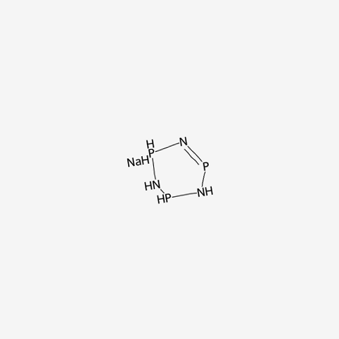 [NaH].n1p[nH][pH][nH][pH]1